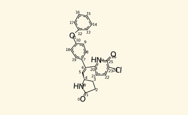 O=C1CC[C@H](/C=C(/c2ccc(Oc3ccccc3)cc2)c2ccc(Cl)c(=O)[nH]2)N1